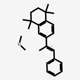 C/C(=C\c1ccccc1)c1ccc2c(c1)C(C)(C)CCC2(C)C.COC